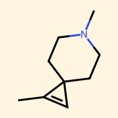 CC1=CC12CCN(C)CC2